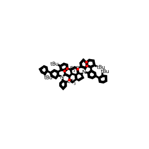 CC(C)(C)c1ccccc1-c1ccc(N(C2=C3C=CC4=C5C(=CC=C(C=C2)C35)C(N(c2ccc(-c3ccccc3C(C)(C)C)cc2-c2ccccc2C(C)(C)C)c2ccccc2C(F)(F)F)C=C4)c2ccccc2C(F)(F)F)c(-c2ccccc2C(C)(C)C)c1